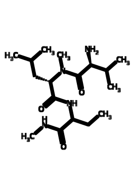 CCC(NC(=O)[C@H](CC(C)C)N(C)C(=O)[C@@H](N)C(C)C)C(=O)NC